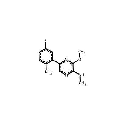 CNc1ncc(-c2cc(F)ccc2N)nc1OC